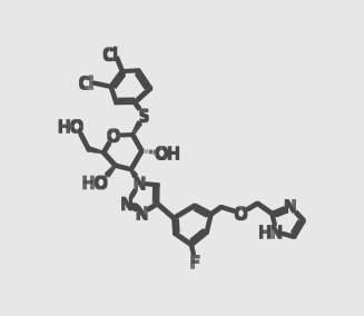 OC[C@H]1O[C@@H](Sc2ccc(Cl)c(Cl)c2)[C@H](O)[C@@H](n2cc(-c3cc(F)cc(COCc4ncc[nH]4)c3)nn2)[C@H]1O